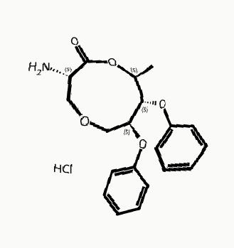 C[C@@H]1OC(=O)[C@@H](N)COC[C@H](Oc2ccccc2)[C@H]1Oc1ccccc1.Cl